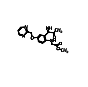 COC(=O)CNc1ccc(OCc2ncccn2)cc1C(=N)C(C)=O